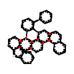 c1ccc(-c2ccccc2-c2c(-c3ccccc3)cccc2N(c2cccc(-c3cccc4ccccc34)c2)c2cccc3oc4ccccc4c23)cc1